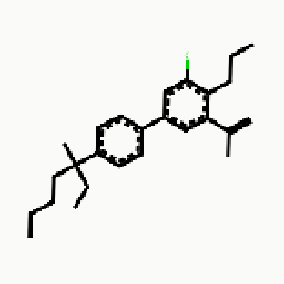 C=C(C)c1cc(-c2ccc(C(C)(CC)CCCC)cc2)cc(Cl)c1CCC